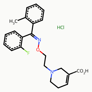 Cc1ccccc1/C(=N/OCCN1CCC=C(C(=O)O)C1)c1ccccc1F.Cl